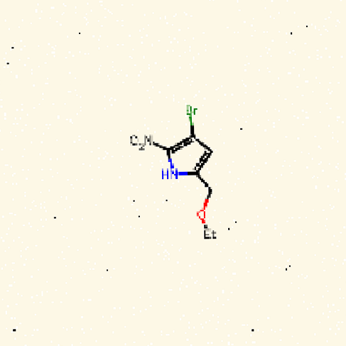 CCOCc1cc(Br)c([N+](=O)[O-])[nH]1